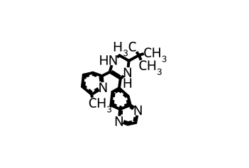 Cc1cccc(C2=C(c3ccc4nccnc4c3)NC(C(C)(C)C)CN2)n1